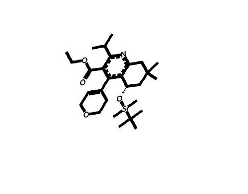 CCOC(=O)c1c(C(C)C)nc2c(c1C1=CCOCC1)[C@@H](O[Si](C)(C)C(C)(C)C)CC(C)(C)C2